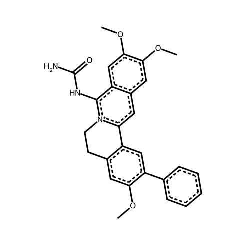 COc1cc2cc3[n+](c(NC(N)=O)c2cc1OC)CCc1cc(OC)c(-c2ccccc2)cc1-3